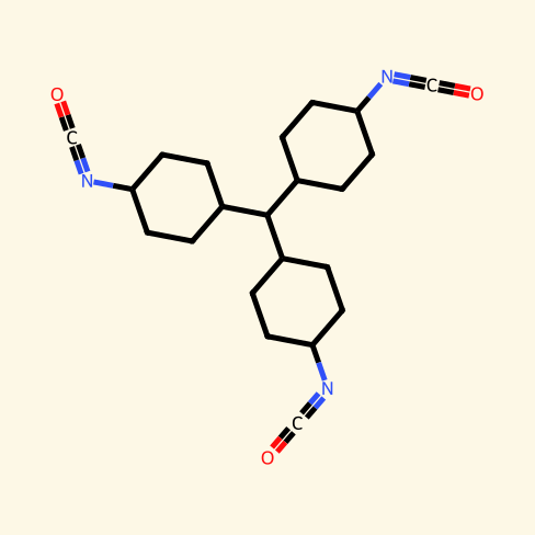 O=C=NC1CCC(C(C2CCC(N=C=O)CC2)C2CCC(N=C=O)CC2)CC1